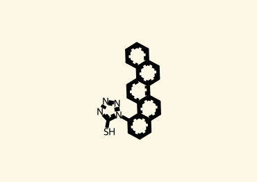 Sc1nnnn1-c1cccc2ccc3c4ccc5ccccc5c4ccc3c12